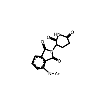 [CH2]C(=O)Nc1cccc2c1C(=O)N(C1CCC(=O)NC1=O)C2=O